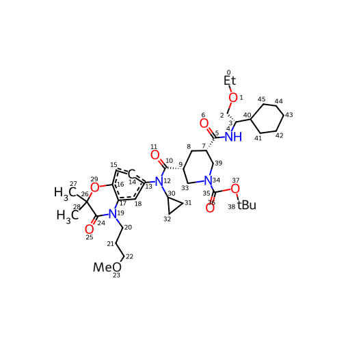 CCOC[C@@H](NC(=O)[C@H]1C[C@@H](C(=O)N(c2ccc3c(c2)N(CCCOC)C(=O)C(C)(C)O3)C2CC2)CN(C(=O)OC(C)(C)C)C1)C1CCCCC1